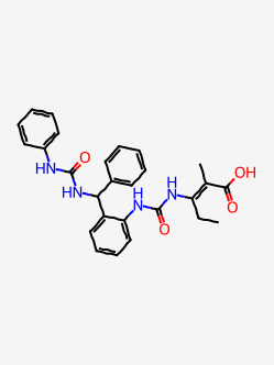 CC/C(NC(=O)Nc1ccccc1C(NC(=O)Nc1ccccc1)c1ccccc1)=C(/C)C(=O)O